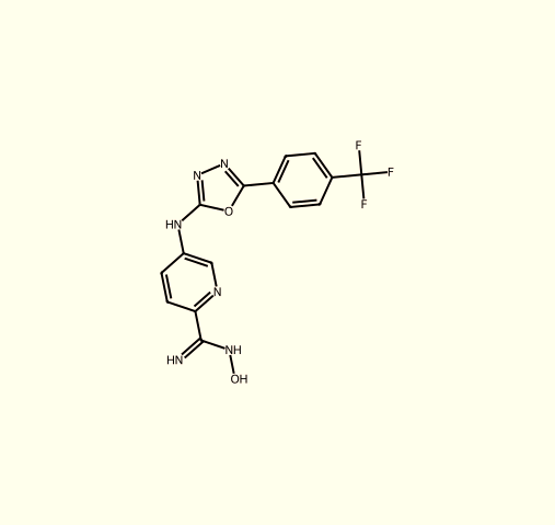 N=C(NO)c1ccc(Nc2nnc(-c3ccc(C(F)(F)F)cc3)o2)cn1